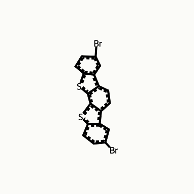 Brc1ccc2sc3c(ccc4c5cc(Br)ccc5sc43)c2c1